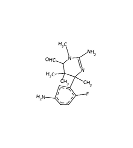 CN1C(N)=NC(C)(c2cc(N)ccc2F)C(C)(C)C1C=O